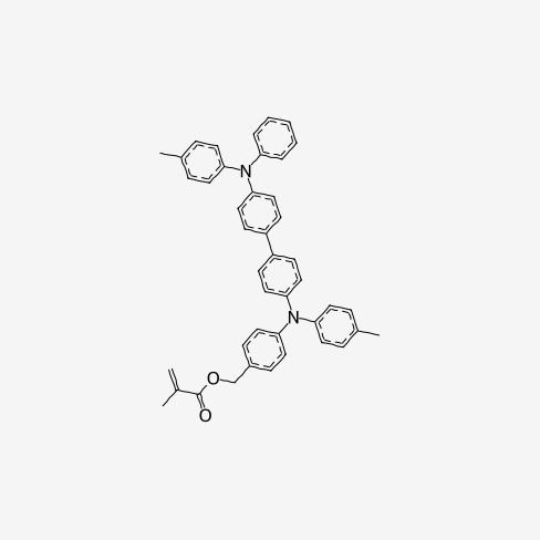 C=C(C)C(=O)OCc1ccc(N(c2ccc(C)cc2)c2ccc(-c3ccc(N(c4ccccc4)c4ccc(C)cc4)cc3)cc2)cc1